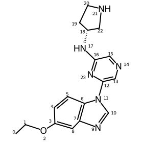 CCOc1ccc2c(c1)ncn2-c1cncc(N[C@@H]2CCNC2)n1